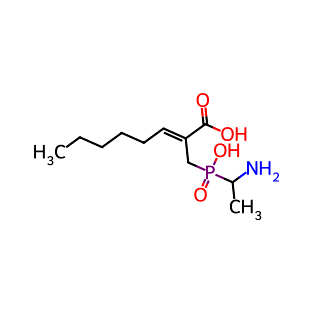 CCCCCC=C(CP(=O)(O)C(C)N)C(=O)O